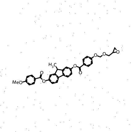 COc1ccc(C(=O)Oc2ccc3c(c2)C(C)c2cc(OC(=O)c4ccc(OCOCC5CO5)cc4)ccc2-3)cc1